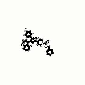 O=C(OCc1ccccc1)N1CCC(c2cc(-c3ccnc4ccccc34)c(-c3ccc(F)cc3)[nH]2)CC1